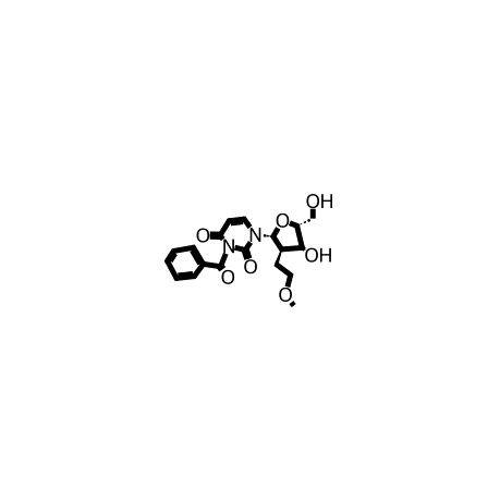 COCC[C@@H]1[C@H](O)[C@@H](CO)O[C@H]1n1ccc(=O)n(C(=O)c2ccccc2)c1=O